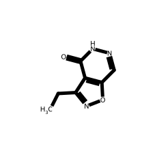 CCc1noc2cn[nH]c(=O)c12